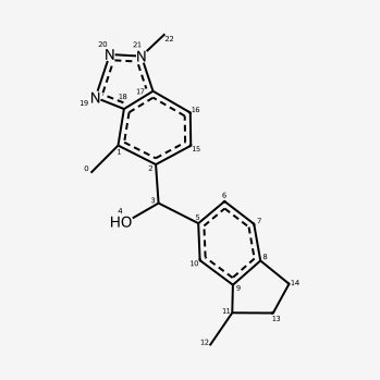 Cc1c(C(O)c2ccc3c(c2)C(C)CC3)ccc2c1nnn2C